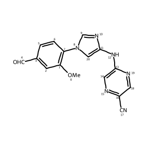 COc1cc(C=O)ccc1-n1cnc(Nc2cnc(C#N)cn2)c1